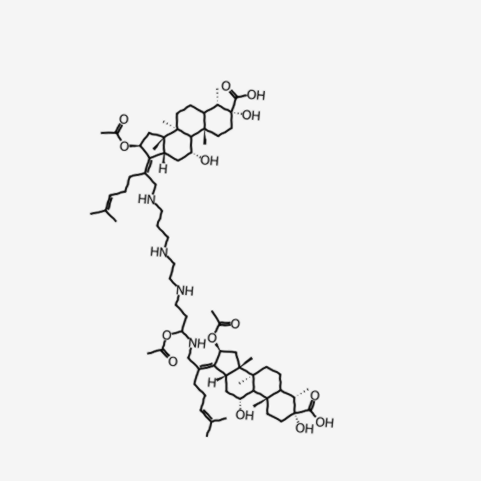 CC(=O)OC(CCNCCNCCCNCC(CCC=C(C)C)=C1[C@@H](OC(C)=O)C[C@@]2(C)[C@@H]1C[C@@H](O)C1[C@@]3(C)CC[C@](O)(C(=O)O)[C@@H](C)C3CC[C@@]12C)NCC(CCC=C(C)C)=C1[C@@H](OC(C)=O)C[C@@]2(C)[C@@H]1C[C@@H](O)C1[C@@]3(C)CC[C@](O)(C(=O)O)[C@@H](C)C3CC[C@@]12C